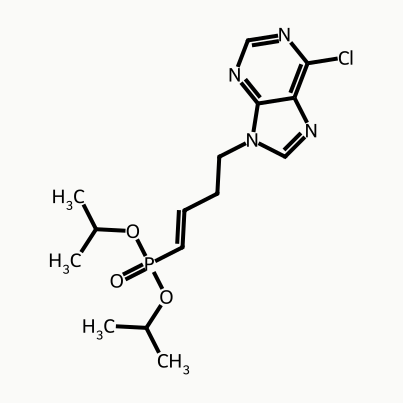 CC(C)OP(=O)(C=CCCn1cnc2c(Cl)ncnc21)OC(C)C